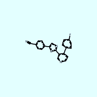 N#Cc1ccc(-c2csc(-c3cnccc3-c3ccc(F)cc3)n2)cc1